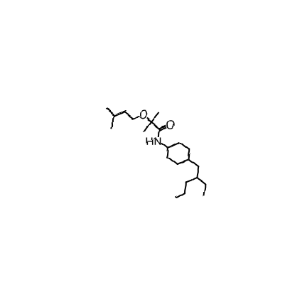 CCCC(CC)CC1CCC(NC(=O)C(C)(C)OCCC(C)C)CC1